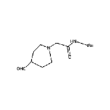 CC(C)(C)NC(=O)CN1CCC(C=O)CC1